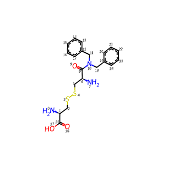 N[C@@H](CSSC[C@H](N)C(=O)N(Cc1ccccc1)Cc1ccccc1)C(=O)O